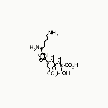 NCCCC[C@H](N)c1noc([C@H](CCC(=O)O)NC(=O)N[C@@H](CO)C(=O)O)n1